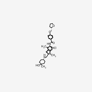 Cc1c(NC(=O)c2ccc(OC[C@@H]3CCCO3)cc2)ccc2c1cc(CN[C@H]1CC[C@@](C)(O)CC1)n2C.Cl